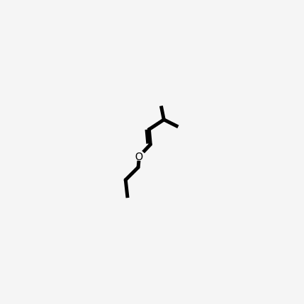 CCCOC=CC(C)C